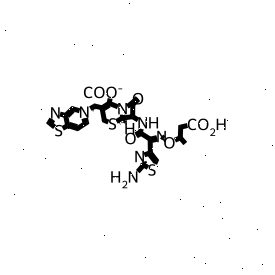 CC(CC(=O)O)ON=C(C(=O)NC1C(=O)N2C(C(=O)[O-])=C(C[n+]3ccc4scnc4c3)CS[C@@H]12)c1csc(N)n1